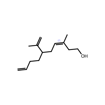 C=CCCC(C/C=C(/C)CCO)C(=C)C